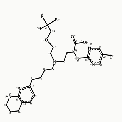 O=C(O)[C@H](CCN(CCCCc1ccc2c(n1)NCCC2)CCOCC(F)(F)F)Nc1ncc(Br)cn1